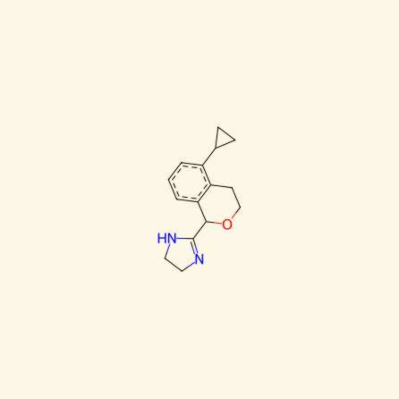 c1cc(C2CC2)c2c(c1)C(C1=NCCN1)OCC2